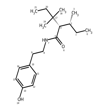 CC[C@@H](C)[C@H](C(=O)NCCc1ccc(O)cc1)C(C)(C)CC